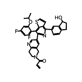 C=CC(=O)N1CCc2ncc(-c3nc(-c4ccc5c(c4)C(O)CC5)c4ccsc4c3-c3c(F)cc(F)cc3OC(C)C)cc2C1